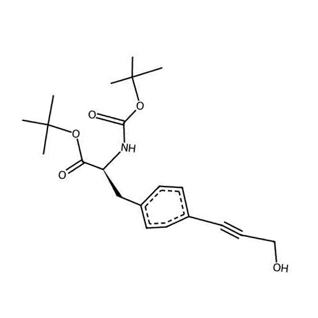 CC(C)(C)OC(=O)N[C@@H](Cc1ccc(C#CCO)cc1)C(=O)OC(C)(C)C